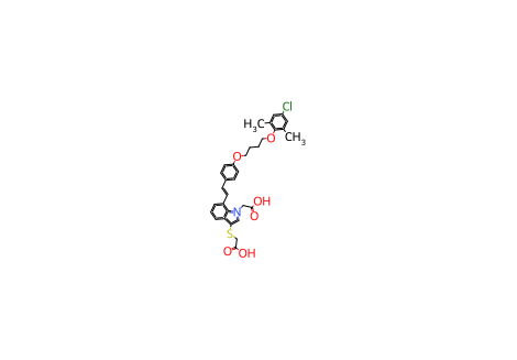 Cc1cc(Cl)cc(C)c1OCCCCOc1ccc(C=Cc2cccc3c(SCC(=O)O)cn(CC(=O)O)c23)cc1